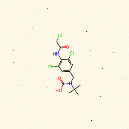 CC(C)(C)N(Cc1cc(Cl)c(NC(=O)CCl)c(Cl)c1)C(=O)O